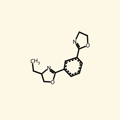 CCC1COC(c2cccc(C3=NCCO3)c2)=N1